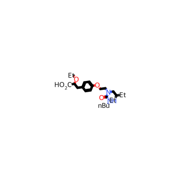 CCCCNC(=O)N(CCOc1ccc(CC(OCC)C(=O)O)cc1)CC(CC)CC